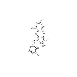 Cc1cccc(Sc2c(Cc3ccncc3F)c(C)nn2C(C)C)c1